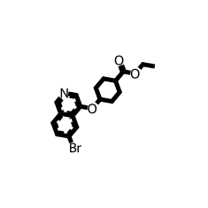 CCOC(=O)C1CCC(Oc2cncc3ccc(Br)cc23)CC1